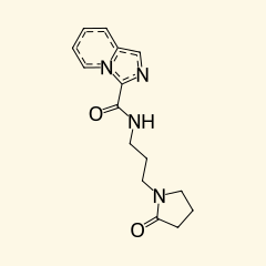 O=C(NCCCN1CCCC1=O)c1ncc2ccccn12